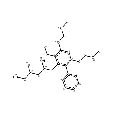 CCc1c(OCOC)cc(OCOC)c(-c2ccccc2)c1CC(O)CC(O)CO